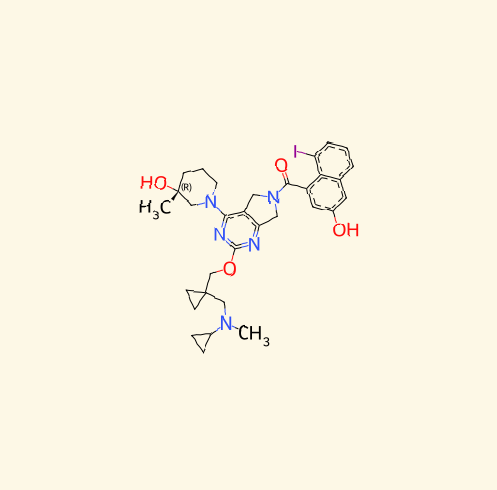 CN(CC1(COc2nc3c(c(N4CCC[C@@](C)(O)C4)n2)CN(C(=O)c2cc(O)cc4cccc(I)c24)C3)CC1)C1CC1